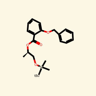 C[C@H](CO[Si](C)(C)C(C)(C)C)OC(=O)c1ccccc1OCc1ccccc1